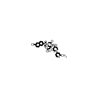 Cc1cc(N2CCC(NN3C(=O)CN(S(=O)(=O)c4ccc5cc(Cl)ccc5c4)CC3(C)CC(=O)O)CC2)ccn1